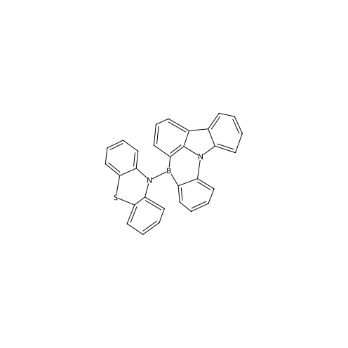 c1ccc2c(c1)Sc1ccccc1N2B1c2ccccc2-n2c3ccccc3c3cccc1c32